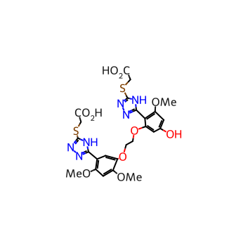 COc1cc(OC)c(-c2nnc(SCC(=O)O)[nH]2)cc1OCCOc1cc(O)cc(OC)c1-c1nnc(SCC(=O)O)[nH]1